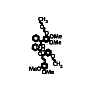 C=CCOCCOc1cc(C(C(=O)N2CCCCC2C(=O)OC(CCc2ccc(OC)c(OC)c2)c2cccc(OCC=C)c2)C2CCCCC2)cc(OC)c1OC